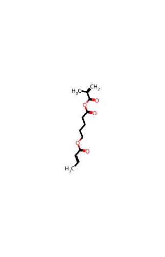 C=C(C)C(=O)OC(=O)CCCCOC(=O)C=CC